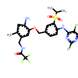 Cc1cc(N)c(OCc2ccc(Nc3nc(Cl)ncc3Cl)c(S(=O)(=O)C(C)C)c2)cc1CNC(=O)C(F)(F)F